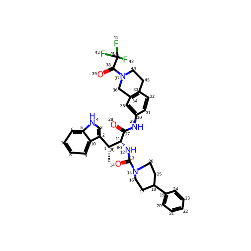 C[C@H](c1c[nH]c2ccccc12)[C@@H](NC(=O)N1CCC(c2ccccc2)CC1)C(=O)Nc1ccc2c(c1)CN(C(=O)C(F)(F)F)CC2